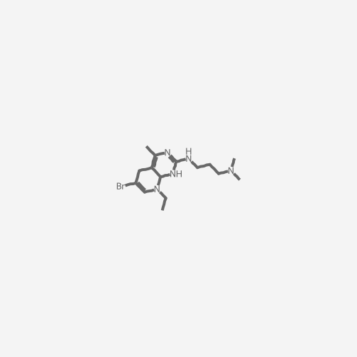 CCN1C=C(Br)CC2=C(C)N=C(NCCCN(C)C)NC21